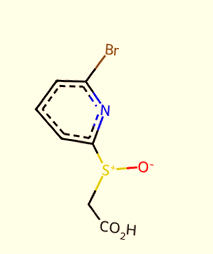 O=C(O)C[S+]([O-])c1cccc(Br)n1